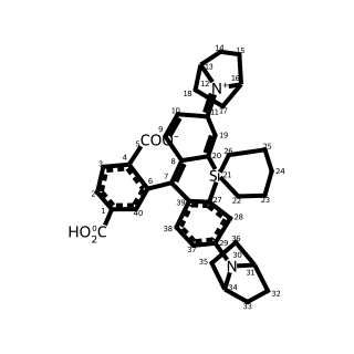 O=C(O)c1ccc(C(=O)[O-])c(C2=C3C=CC(=[N+]4C5CCC4CC5)C=C3[Si]3(CCCCC3)c3cc(N4C5CCC4CC5)ccc32)c1